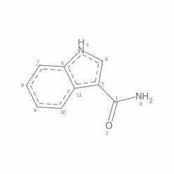 NC(=O)c1c[nH]c2[c]cccc12